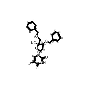 N#C[C@]1(COCc2ccccc2)O[C@@H](n2cc(F)c(=O)[nH]c2=O)C[C@@H]1OCc1ccccc1